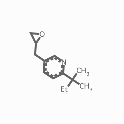 CCC(C)(C)c1ccc(CC2CO2)cn1